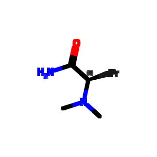 CC(C)[C@H](C(N)=O)N(C)C